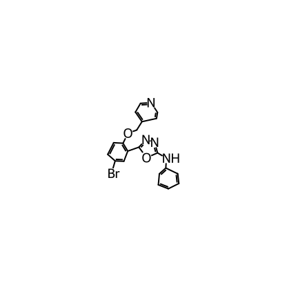 Brc1ccc(OCc2ccncc2)c(-c2nnc(Nc3ccccc3)o2)c1